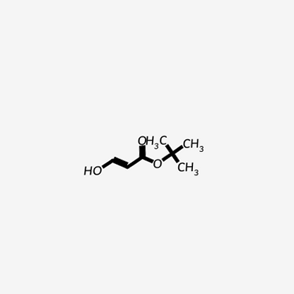 CC(C)(C)OC(=O)C=CO